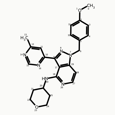 COc1ccc(Cn2nc(-c3cc(C)ncn3)c3c(NC4CCOCC4)nccc32)cc1